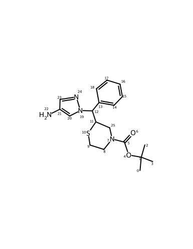 CC(C)(C)OC(=O)N1CCSC(C(c2ccccc2)n2cc(N)cn2)C1